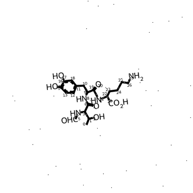 CC(O)C(NC=O)C(=O)NC(Cc1ccc(O)c(O)c1)C(=O)NC(CCCCN)C(=O)O